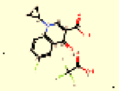 O=C(O)C(F)(F)F.O=C(O)c1cn(C2CC2)c2ccc(F)cc2c1=O